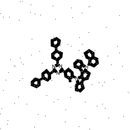 Cc1cc(-c2nc(-c3ccc(-c4ccccc4)cc3)nc(-c3ccc(-c4ccccc4)cc3)n2)ccc1-n1c2ccccc2c2ccc3c(c4ccccc4n3-c3cccc4ccccc34)c21